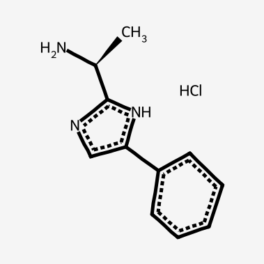 C[C@H](N)c1ncc(-c2ccccc2)[nH]1.Cl